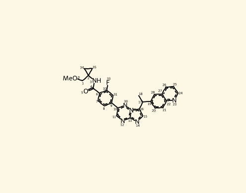 COCC1(NC(=O)c2ccc(-c3cnc4ncc(C(C)c5ccc6ncccc6c5)n4n3)cc2F)CC1